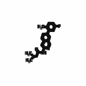 Cc1ccc(F)cc1-c1ccc2cc(NC(=O)CN(C)C)ncc2c1